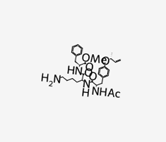 C=C[C@@H](C)Oc1ccc(C[C@H](NC(C)=O)C(=O)NC(CCCCN)C(=O)N[C@@H](Cc2ccccc2)C(=O)OC)cc1